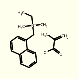 C=C(C)C(=O)[O-].CC[N+](C)(C)Cc1cccc2ccccc12